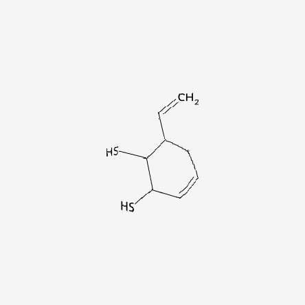 C=CC1CC=CC(S)C1S